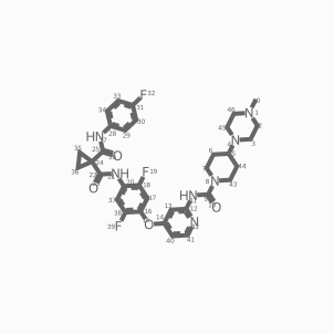 CN1CCN(C2CCN(C(=O)Nc3cc(Oc4cc(F)c(NC(=O)C5(C(=O)Nc6ccc(F)cc6)CC5)cc4F)ccn3)CC2)CC1